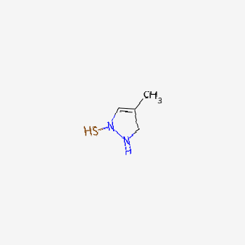 CC1=CN(S)NC1